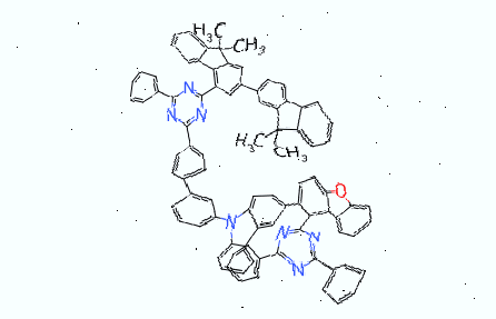 CC1(C)c2ccccc2-c2ccc(-c3cc(-c4nc(-c5ccccc5)nc(-c5ccc(-c6cccc(-n7c8ccccc8c8cc(-c9ccc%10oc%11ccccc%11c%10c9-c9nc(-c%10ccccc%10)nc(-c%10ccccc%10)n9)ccc87)c6)cc5)n4)c4c(c3)C(C)(C)c3ccccc3-4)cc21